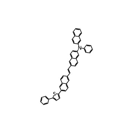 C(=C\c1ccc2cc(N(c3ccccc3)c3ccc4ccccc4c3)ccc2c1)/c1ccc2cc(-c3ccc(-c4ccccc4)s3)ccc2c1